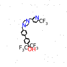 OC(c1ccc(-c2ccc(CN3CCN(Cc4ccc(C(F)(F)F)nc4)CC3)cc2)cc1)(C(F)(F)F)C(F)(F)F